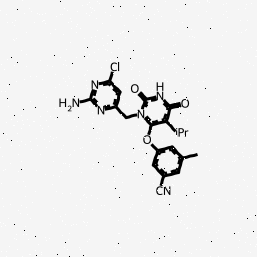 Cc1cc(C#N)cc(Oc2c(C(C)C)c(=O)[nH]c(=O)n2Cc2cc(Cl)nc(N)n2)c1